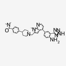 CN(C)C(=O)c1ccc(C2CCN(Cc3cc4c(-c5ccc(N)c(-c6nn[nH]n6)c5)ccnc4n3C)CC2)cc1